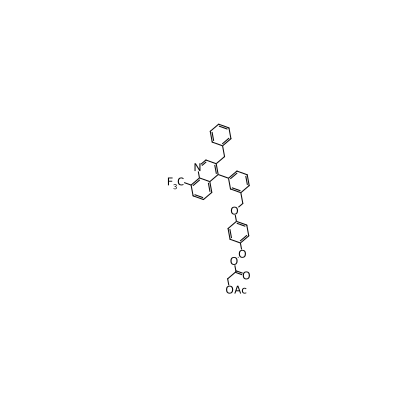 CC(=O)OCC(=O)OOc1ccc(OCc2cccc(-c3c(Cc4ccccc4)cnc4c(C(F)(F)F)cccc34)c2)cc1